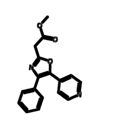 COC(=O)Cc1nc(-c2ccccc2)c(-c2ccncc2)o1